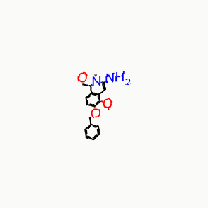 COc1c(OCc2ccccc2)ccc2c1C=C(N)N(C)C2C=O